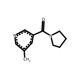 Cc1cncc(C(=O)N2CCCC2)c1